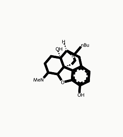 CCCCN1CC[C@]23c4c5ccc(O)c4OC2C(NC)CC[C@@]3(O)[C@H]1C5